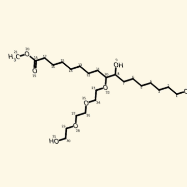 CCCCCCCCC(O)C(CCCCCCCC(=O)OC)OCCOCCOCCO